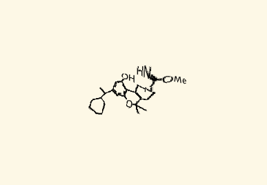 COC(=N)N1CCC2=C(C1)c1c(O)cc(C(C)C3CCCCC3)cc1OC2(C)C